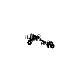 CCN(Cc1cc(C(=O)NCCCCCNC(=O)C(C)(OC)c2cccc3ccccc23)cc(Br)c1N)C1CCCCC1